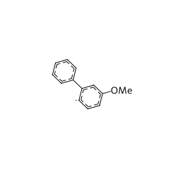 COc1cc[c]c(-c2ccccc2)c1